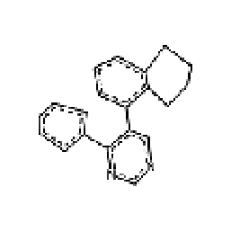 [c]1ncnc(-c2ccccc2)c1-c1cccc2c1CCCC2